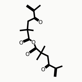 C=C(C)C(=O)CC(C)(C)C(=O)OC(=O)C(C)(C)CC(=O)C(=C)C